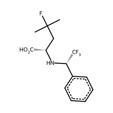 CC(C)(F)C[C@H](N[C@@H](c1ccccc1)C(F)(F)F)C(=O)O